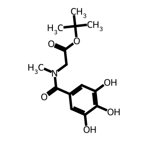 CN(CC(=O)OC(C)(C)C)C(=O)c1cc(O)c(O)c(O)c1